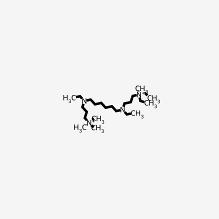 CCN(CCCCCCN(CC)CCC[N+](C)(CC)CC)CCC[N+](C)(C)C